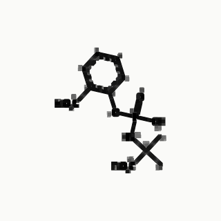 CCOC(=O)c1ccccc1OP(=O)(O)NC(C)(C)C(=O)OCC